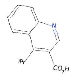 CC(C)c1c(C(=O)O)cnc2ccccc12